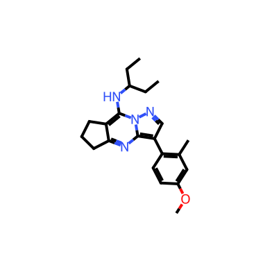 CCC(CC)Nc1c2c(nc3c(-c4ccc(OC)cc4C)cnn13)CCC2